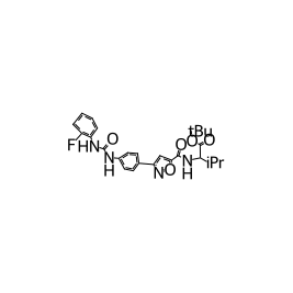 CC(C)C(NC(=O)c1cc(-c2ccc(NC(=O)Nc3ccccc3F)cc2)no1)C(=O)OC(C)(C)C